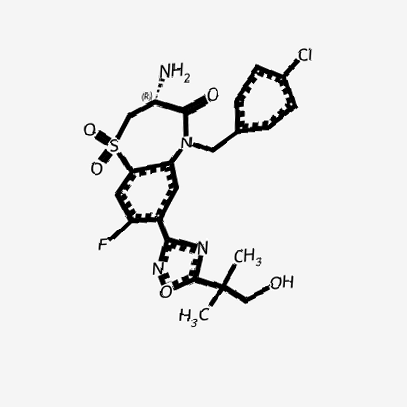 CC(C)(CO)c1nc(-c2cc3c(cc2F)S(=O)(=O)C[C@H](N)C(=O)N3Cc2ccc(Cl)cc2)no1